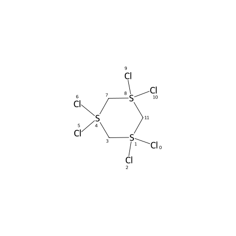 ClS1(Cl)CS(Cl)(Cl)CS(Cl)(Cl)C1